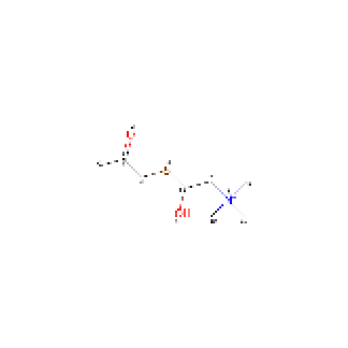 CC(=O)CSC(O)C[N+](C)(C)C